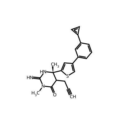 C#CCC1C(=O)N(C)C(=N)N[C@]1(C)c1cc(-c2cccc(C3=C=C3)c2)cs1